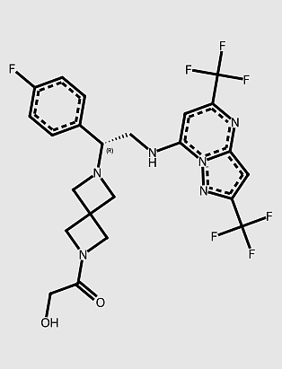 O=C(CO)N1CC2(C1)CN([C@@H](CNc1cc(C(F)(F)F)nc3cc(C(F)(F)F)nn13)c1ccc(F)cc1)C2